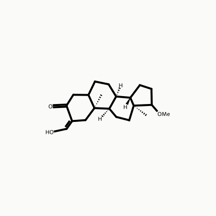 COC1CC[C@H]2[C@@H]3CCC4CC(=O)C(=CO)C[C@]4(C)[C@@H]3CC[C@]12C